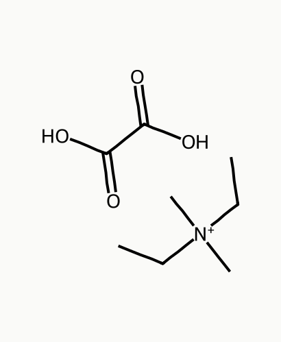 CC[N+](C)(C)CC.O=C(O)C(=O)O